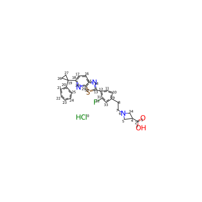 Cl.O=C(O)C1CN(CCc2ccc(-c3nc4ccc(C5(c6ccccc6)CC5)nc4s3)c(F)c2)C1